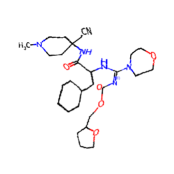 CN1CCC(C#N)(NC(=O)C(CC2CCCCC2)N/C(=N\C(=O)OCC2CCCO2)N2CCOCC2)CC1